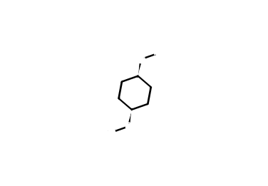 CCO[C@H]1CC[C@@H](SC(C)=O)CC1